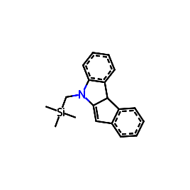 C[Si](C)(C)CN1C2=Cc3ccccc3C2c2ccccc21